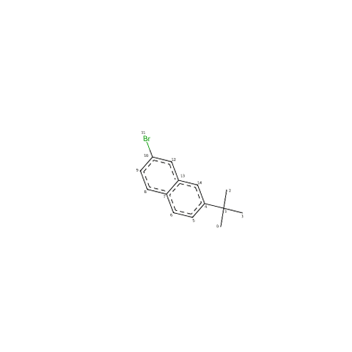 CC(C)(C)c1ccc2ccc(Br)cc2c1